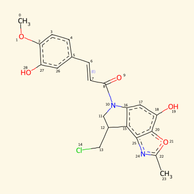 COc1ccc(/C=C/C(=O)N2CC(CCl)c3c2cc(O)c2oc(C)nc32)cc1O